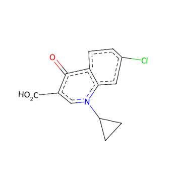 O=C(O)c1cn(C2CC2)c2cc(Cl)ccc2c1=O